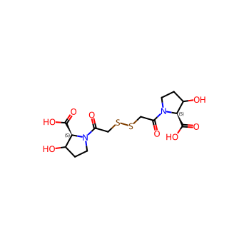 O=C(O)[C@@H]1C(O)CCN1C(=O)CSSCC(=O)N1CCC(O)[C@H]1C(=O)O